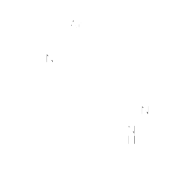 CC(=O)c1cc(-c2c(C)n[nH]c2-c2ccccc2)ccn1